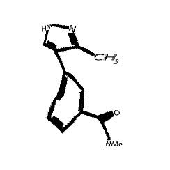 CNC(=O)c1c[c]cc(-c2c[nH]nc2C)c1